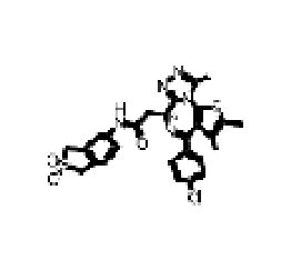 Cc1sc2c(c1C)C(c1ccc(Cl)cc1)=N[C@@H](CC(=O)Nc1ccc3c(c1)CS(=O)(=O)C3)c1nnc(C)n1-2